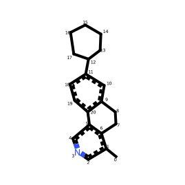 Cc1cncc2c1CCc1cc(C3CCCCC3)ccc1-2